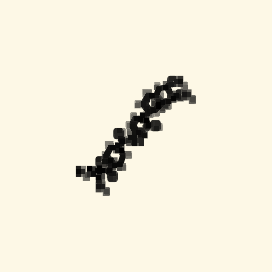 CC(Cc1ccc(-n2ccc(NC(=O)N3CCN(C(=O)C(C)(C)N)CC3)nc2=O)cc1)N(C)C